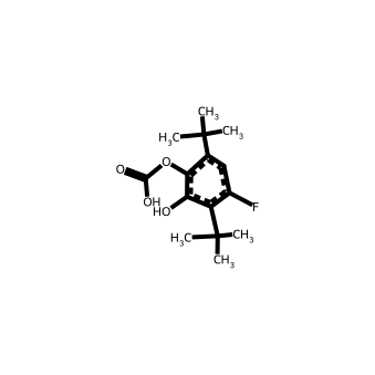 CC(C)(C)c1cc(F)c(C(C)(C)C)c(O)c1OC(=O)O